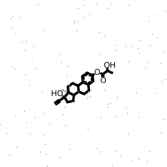 C#C[C@]1(O)CCC2C3CCc4cc(OC(=O)C(C)O)ccc4C3CC[C@@]21C